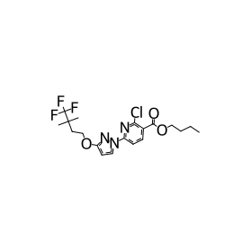 CCCCOC(=O)c1ccc(-n2ccc(OCCC(C)(C)C(F)(F)F)n2)nc1Cl